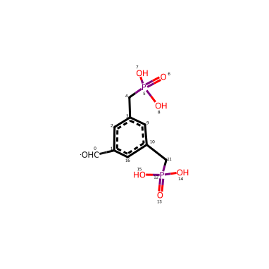 O=[C]c1cc(CP(=O)(O)O)cc(CP(=O)(O)O)c1